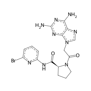 Nc1nc(N)c2ncn(CC(=O)N3CCC[C@H]3C(=O)Nc3cccc(Br)n3)c2n1